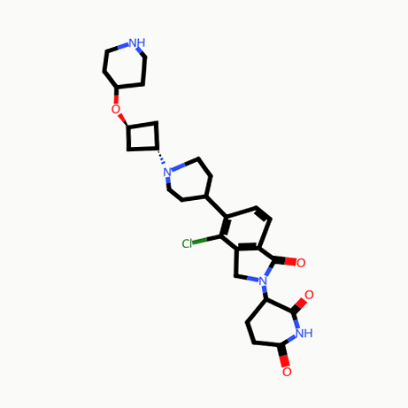 O=C1CCC(N2Cc3c(ccc(C4CCN([C@H]5C[C@H](OC6CCNCC6)C5)CC4)c3Cl)C2=O)C(=O)N1